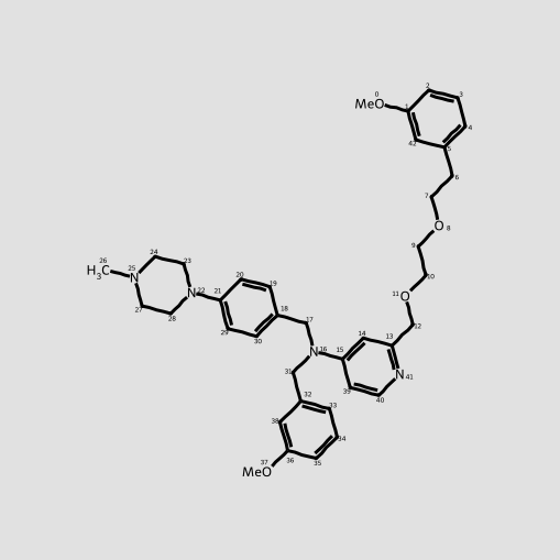 COc1cccc(CCOCCOCc2cc(N(Cc3ccc(N4CCN(C)CC4)cc3)Cc3cccc(OC)c3)ccn2)c1